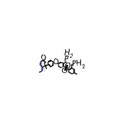 C=C(/C=C\C(=C/C)C(C)(C)c1ccc(Oc2ccc(S(=O)(=O)c3ccc(C)cc3CP)c(CP)c2)cc1)OC